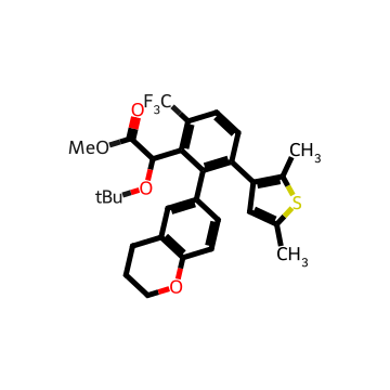 COC(=O)C(OC(C)(C)C)c1c(C(F)(F)F)ccc(-c2cc(C)sc2C)c1-c1ccc2c(c1)CCCO2